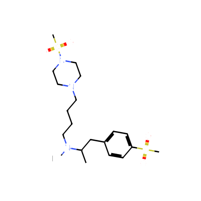 CCN(CCCCN1CCN(S(C)(=O)=O)CC1)C(C)Cc1ccc(S(C)(=O)=O)cc1